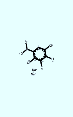 [Na+].[Na+].[O-]B([O-])c1cc(Cl)c(Cl)c(Cl)c1Cl